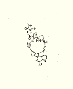 CCO[C@@H]1c2nc(cs2)-c2ccc3c(c2)c(c(-c2cccnc2[C@H](C)OC)n3CC)CC(C)(C)COC(=O)[C@@H]2CCCN(N2)C(=O)[C@H]1NC(=O)[C@H]1[C@@H]2CN(C)C(=O)[C@@H]21